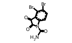 NC(=O)N1C(=O)C(=O)c2c1ccc(Br)c2Br